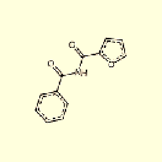 O=C(NC(=O)c1ccco1)c1ccccc1